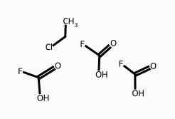 CCCl.O=C(O)F.O=C(O)F.O=C(O)F